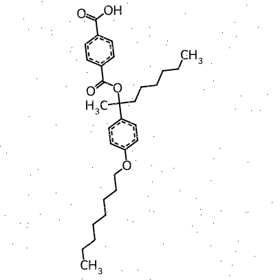 CCCCCCCCOc1ccc(C(C)(CCCCCC)OC(=O)c2ccc(C(=O)O)cc2)cc1